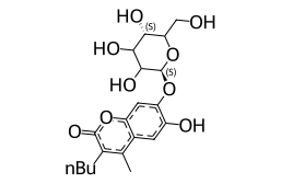 CCCCc1c(C)c2cc(O)c(O[C@@H]3OC(CO)[C@@H](O)C(O)C3O)cc2oc1=O